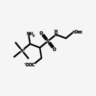 CCCCCCCCCCCNS(=O)(=O)C(CC(=O)[O-])C(N)[N+](C)(C)C